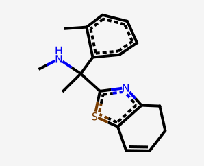 CNC(C)(c1nc2c(s1)C=CCC2)c1ccccc1C